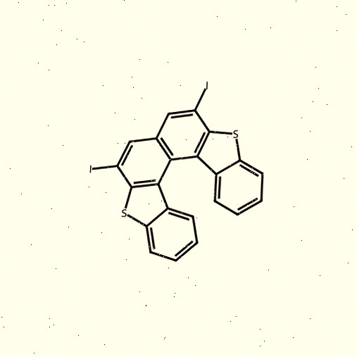 Ic1cc2cc(I)c3sc4ccccc4c3c2c2c1sc1ccccc12